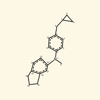 CN(c1ccc(CC2CC2)cc1)c1ccc2c(c1)CCC2